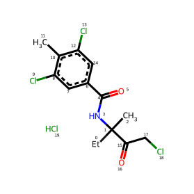 CCC(C)(NC(=O)c1cc(Cl)c(C)c(Cl)c1)C(=O)CCl.Cl